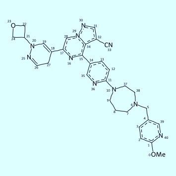 COc1ccc(CN2CCCN(c3ccc(-c4nc(C5=CN(C6COC6)N=CC5)cn5ncc(C#N)c45)cn3)CC2)cn1